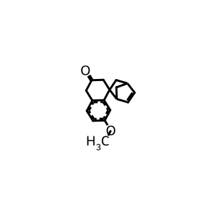 COc1ccc2c(c1)C1(CC(=O)C2)CC2C=CC1C2